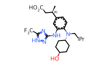 CC(C)CN(c1ccc([C@H](C)CC(=O)O)cc1Nc1n[nH]c(C(F)(F)F)n1)[C@H]1CC[C@H](O)CC1